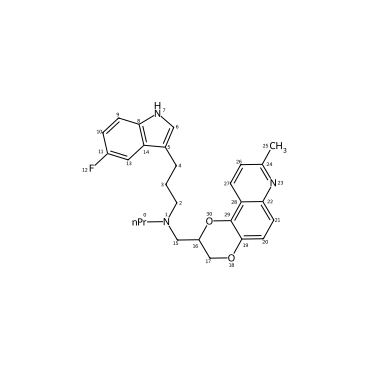 CCCN(CCCc1c[nH]c2ccc(F)cc12)CC1COc2ccc3nc(C)ccc3c2O1